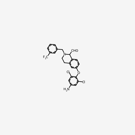 Nc1cc(Cl)c(Oc2ccc3c(c2)CCN(Cc2cccc(C(F)(F)F)c2)C3C=O)c(Cl)c1